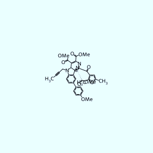 CC#CCN1c2ccc(-c3ccc(OC)cc3)cc2[C@]23C[C@@H](C(=O)OC)N(C(=O)c4cc(C)oc4C)C2=NC(C(=O)OC)=C(C(=O)OC)C13